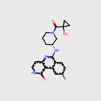 O=C(N1CCC[C@@H](Nc2nc3cc[nH]c(=O)c3c3cc(F)ccc23)C1)C1(O)CC1